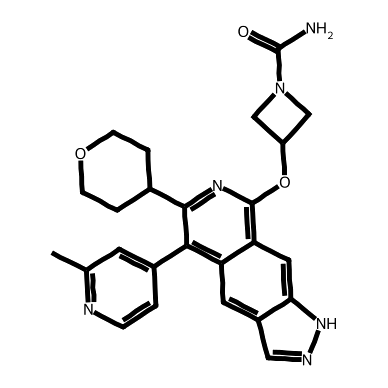 Cc1cc(-c2c(C3CCOCC3)nc(OC3CN(C(N)=O)C3)c3cc4[nH]ncc4cc23)ccn1